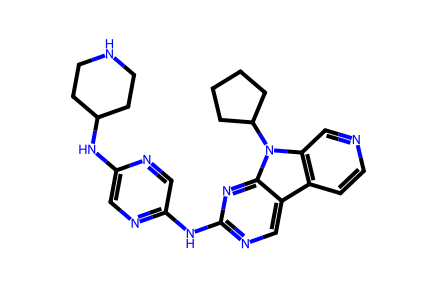 c1cc2c3cnc(Nc4cnc(NC5CCNCC5)cn4)nc3n(C3CCCC3)c2cn1